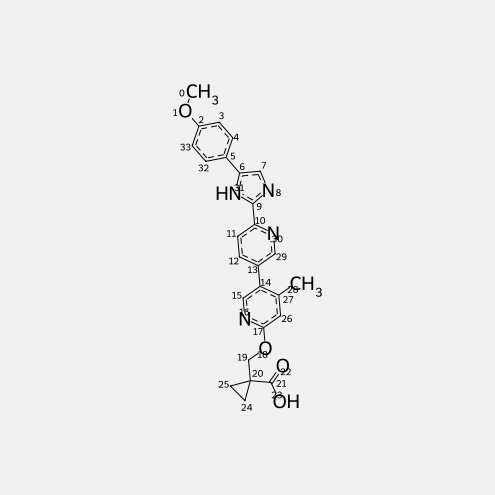 COc1ccc(-c2cnc(-c3ccc(-c4cnc(OCC5(C(=O)O)CC5)cc4C)cn3)[nH]2)cc1